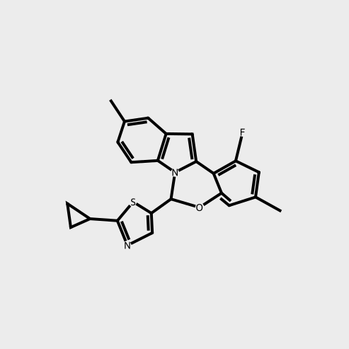 Cc1cc(F)c2c(c1)OC(c1cnc(C3CC3)s1)n1c-2cc2cc(C)ccc21